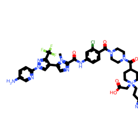 Cn1c(-c2cn(-c3ccc(N)cn3)nc2C(F)(F)F)cnc1C(=O)Nc1ccc(C(=O)N2CCN(C(=O)C3CC[N+](CCCN)(CC(=O)O)CC3)CC2)c(Cl)c1